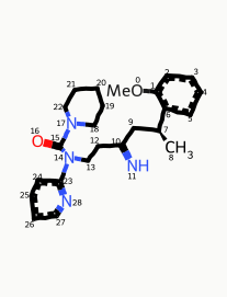 COc1ccccc1[C@@H](C)CC(=N)CCN(C(=O)N1CCCCC1)c1ccccn1